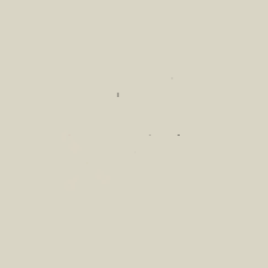 O=S(=O)([O-])C=Cc1ccccc1.[Cs+]